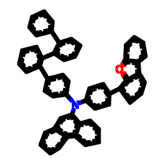 c1ccc(-c2ccccc2-c2ccccc2-c2ccc(N(c3ccc(-c4cccc5c4oc4ccccc45)cc3)c3cc4ccccc4c4ccccc34)cc2)cc1